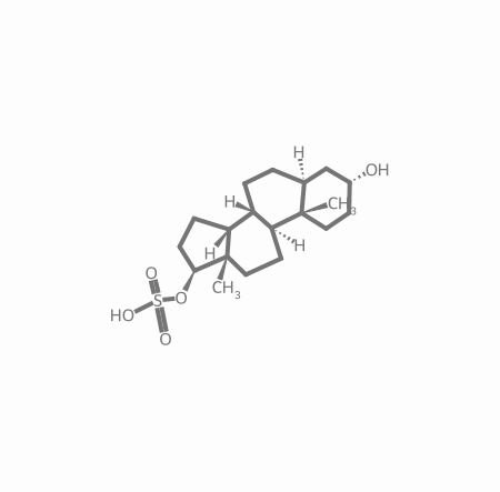 C[C@]12CC[C@@H](O)C[C@@H]1CC[C@H]1[C@H]3CC[C@H](OS(=O)(=O)O)[C@@]3(C)CC[C@@H]12